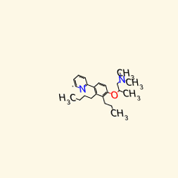 CCCCc1c(-c2ccc[c]n2)ccc(OC(C)CN(C)C)c1CCC